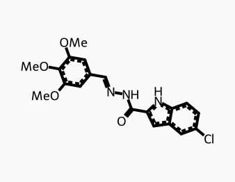 COc1cc(C=NNC(=O)c2cc3cc(Cl)ccc3[nH]2)cc(OC)c1OC